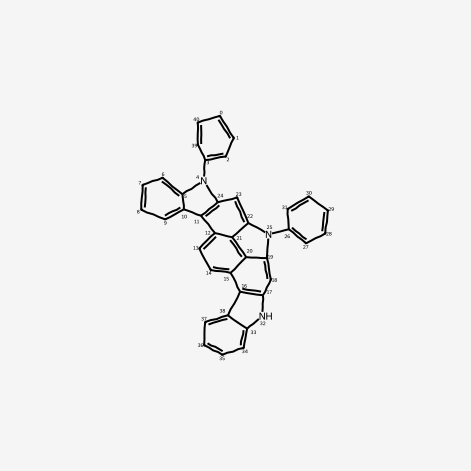 c1ccc(-n2c3ccccc3c3c4ccc5c6c(cc7c5c4c(cc32)n7-c2ccccc2)[nH]c2ccccc26)cc1